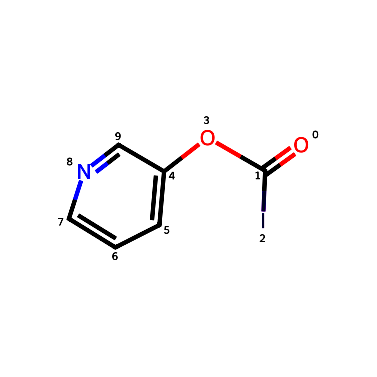 O=C(I)Oc1cccnc1